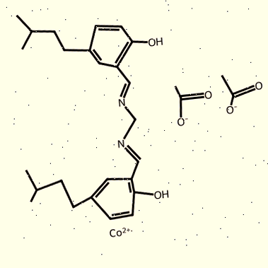 CC(=O)[O-].CC(=O)[O-].CC(C)CCc1ccc(O)c(C=NCN=Cc2cc(CCC(C)C)ccc2O)c1.[Co+2]